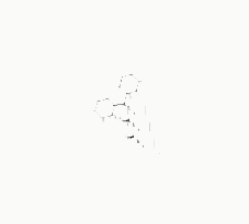 NC(=O)NC(=O)NC(C1CCCCC1)C1CCCCC1